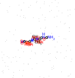 COc1cc(N=Nc2c(S(=O)(=O)O)cc3cc(NC(=O)c4ccc(N)cc4)ccc3c2O)c(OC)cc1N=Nc1ccc(C=Cc2ccc([N+](=O)[O-])cc2S(=O)(=O)O)c(S(=O)(=O)O)c1